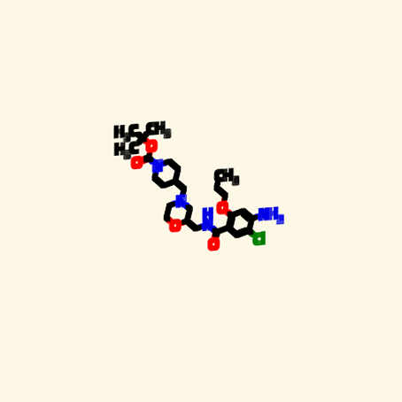 CCCOc1cc(N)c(Cl)cc1C(=O)NCC1CN(CC2CCN(C(=O)OC(C)(C)C)CC2)CCO1